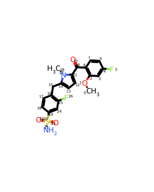 COc1cc(F)ccc1C(=O)c1ccc(Cc2ccc(S(N)(=O)=O)cc2F)n1C